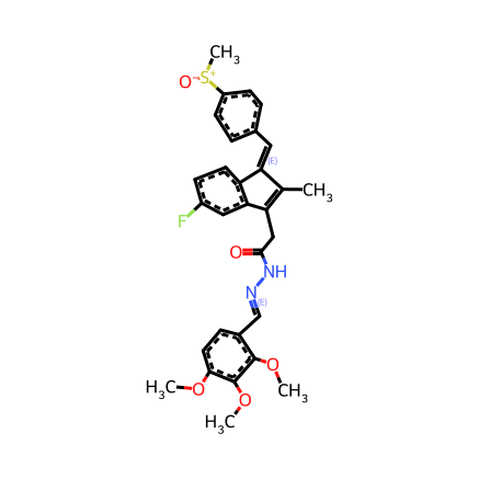 COc1ccc(/C=N/NC(=O)CC2=C(C)/C(=C/c3ccc([S+](C)[O-])cc3)c3ccc(F)cc32)c(OC)c1OC